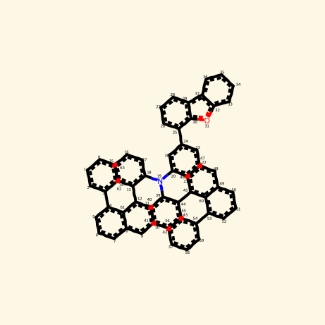 c1ccc(-c2cccc3cccc(-c4ccccc4N(c4cccc(-c5cccc6c5oc5ccccc56)c4)c4ccccc4-c4cccc5cccc(-c6ccccc6)c45)c23)cc1